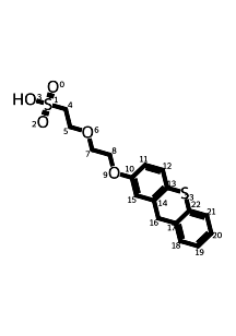 O=S(=O)(O)CCOCCOc1ccc2c(c1)Cc1ccccc1S2